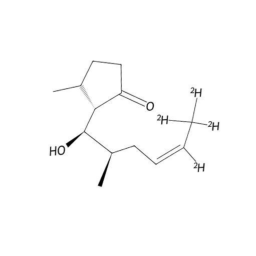 [2H]C(=CC[C@@H](C)[C@@H](O)[C@H]1C(=O)CCC1C)C([2H])([2H])[2H]